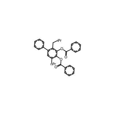 CCCc1cc(-c2ccccc2)c(CC(C)C)c(OC(=O)c2ccccc2)c1OC(=O)c1ccccc1